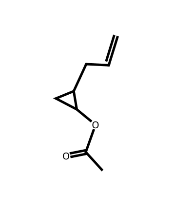 C=CCC1CC1OC(C)=O